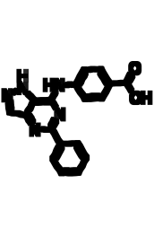 O=C(O)c1ccc(Nc2nc(-c3ccccc3)nc3cn[nH]c23)cc1